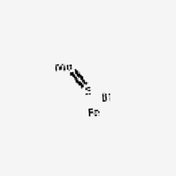 [B].[Fe].[S]=[Mo]